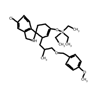 CC[Si](CC)(CC)OC1=CC(CC(C)COCc2ccc(OC)cc2)C2(CC1)NCc1cc(Cl)ccc12